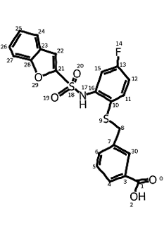 O=C(O)c1cccc(CSc2ccc(F)cc2NS(=O)(=O)c2cc3ccccc3o2)c1